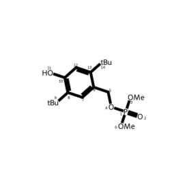 COP(=O)(OC)OCc1cc(C(C)(C)C)c(O)cc1C(C)(C)C